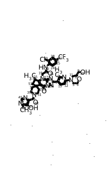 Cc1nc(N2CCOC(CO)C2)ccc1-c1nc2n(CC(=O)Nc3ccc(C(F)(F)F)cc3Cl)c3c(c(=O)n2n1)C1(CCN(C(=O)c2ncnc(C)c2O)CC1)CC3C